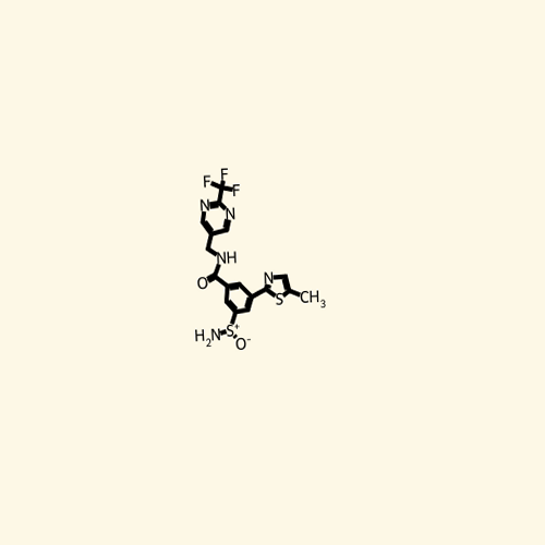 Cc1cnc(-c2cc(C(=O)NCc3cnc(C(F)(F)F)nc3)cc([S+](N)[O-])c2)s1